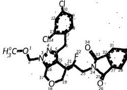 COCn1nc(Cc2ccc(Cl)cc2Cl)c2c1COC/C2=C(/F)CN1C(=O)c2ccccc2C1=O